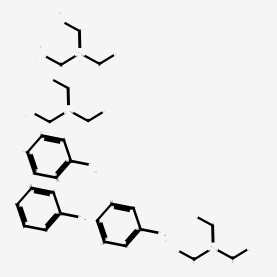 CCN(CC)CC.CCN(CC)CC.CCN(CC)CC.Sc1ccccc1.Sc1ccccc1.Sc1ccccc1